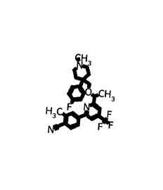 Cc1cc(-c2cc(C(F)(F)F)cc(C(C)OCC3(c4ccc(F)cc4)CCN(C)CC3)n2)ccc1C#N